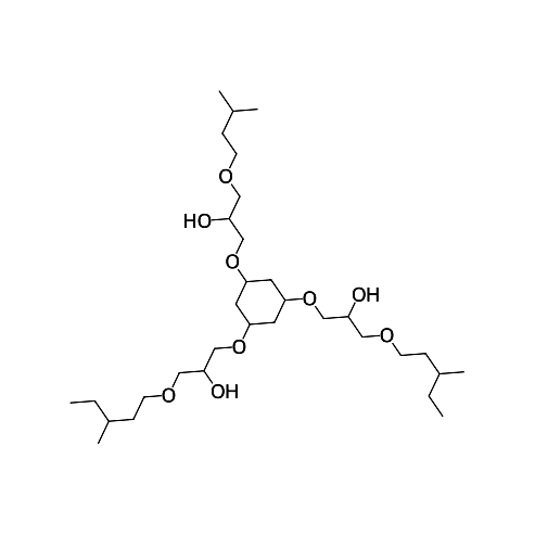 CCC(C)CCOCC(O)COC1CC(OCC(O)COCCC(C)C)CC(OCC(O)COCCC(C)CC)C1